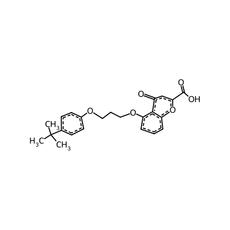 CC(C)(C)c1ccc(OCCCOc2cccc3oc(C(=O)O)cc(=O)c23)cc1